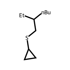 CCCCC(CC)CSC1CC1